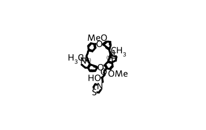 COc1ccc2cc1Oc1ccc(cc1)C[C@H]1c3cc(ccc3CCN1C)Oc1c(OCC(O)CN3CCSCC3)c(OC)cc3c1[C@H](C2)N(C)CC3